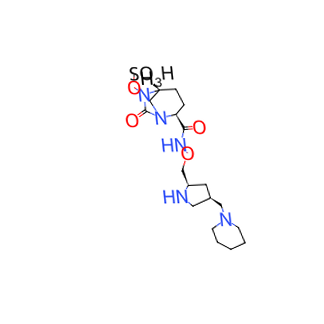 O=C(NOC[C@H]1C[C@@H](CN2CCCCC2)CN1)[C@@H]1CC[C@@H]2CN1C(=O)N2OS(=O)(=O)O